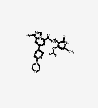 Cc1cc(OC(F)F)c(CNC(=O)c2cc(-c3ccc(N4CCOCC4)nc3)cc3c(C(C)C)ncn23)c(=O)[nH]1